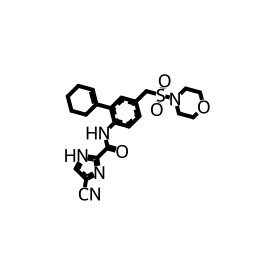 N#Cc1c[nH]c(C(=O)Nc2ccc(CS(=O)(=O)N3CCOCC3)cc2C2=CCCCC2)n1